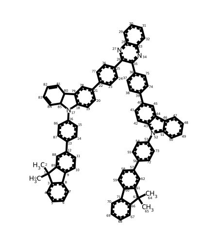 CC1(C)c2ccccc2-c2ccc(-c3ccc(N4c5ccc(-c6ccc(-c7nc8ccccc8nc7-c7ccc(-c8ccc9c(c8)c8ccccc8n9-c8ccc(-c9ccc%10c(c9)C(C)(C)c9ccccc9-%10)cc8)cc7)cc6)cc5C5C=CC=CC54)cc3)cc21